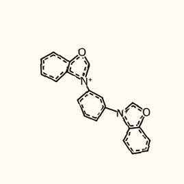 c1cc(-[n+]2coc3ccccc32)cc(-[n+]2coc3ccccc32)c1